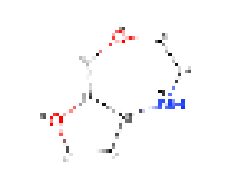 C1COCC2OCCC2N1